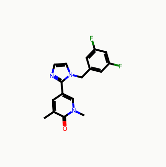 Cc1cc(-c2nccn2Cc2cc(F)cc(F)c2)cn(C)c1=O